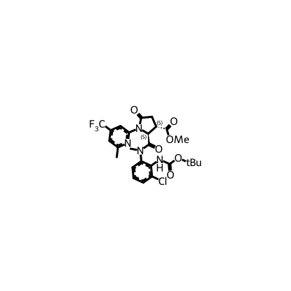 COC(=O)[C@H]1CC(=O)N(c2cc(C(F)(F)F)cc(C)n2)[C@@H]1C(=O)N(C)c1cccc(Cl)c1NC(=O)OC(C)(C)C